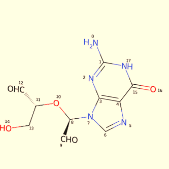 Nc1nc2c(ncn2[C@@H](C=O)O[C@@H](C=O)CO)c(=O)[nH]1